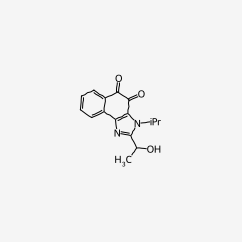 CC(O)c1nc2c(n1C(C)C)C(=O)C(=O)c1ccccc1-2